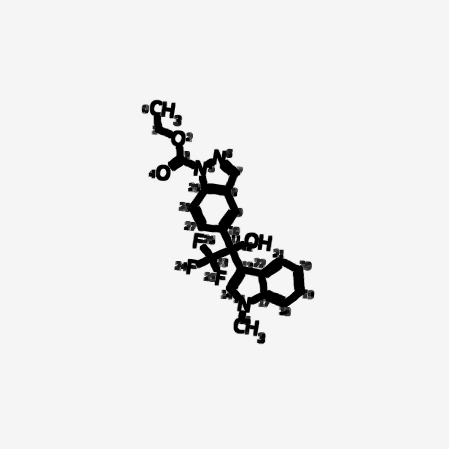 CCOC(=O)n1ncc2cc(C(O)(c3cn(C)c4ccccc34)C(F)(F)F)ccc21